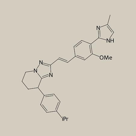 COc1cc(C=Cc2nc3n(n2)CCCC3c2ccc(C(C)C)cc2)ccc1-c1nc(C)c[nH]1